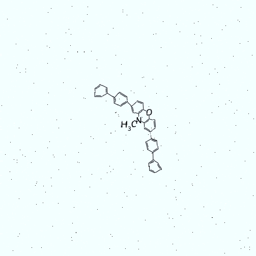 CN1c2cc(-c3ccc(-c4ccccc4)cc3)ccc2Oc2ccc(-c3ccc(-c4ccccc4)cc3)cc21